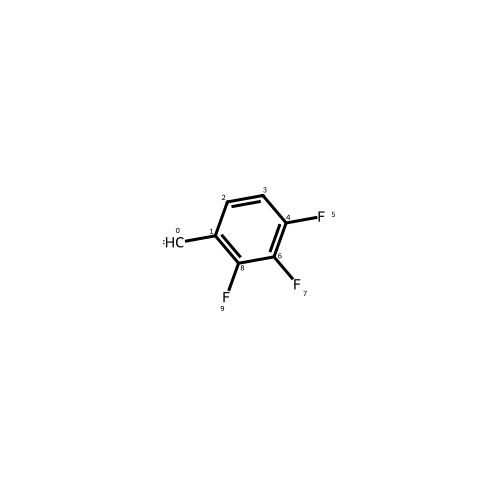 [CH]c1ccc(F)c(F)c1F